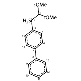 COC(OC)[SiH2]c1ccc(-c2ccccc2)cc1